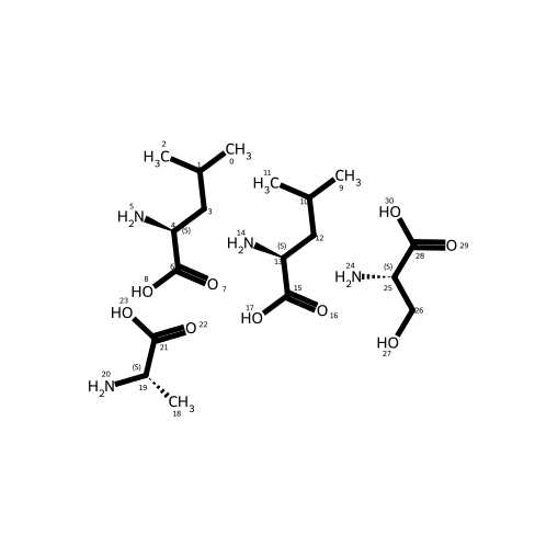 CC(C)C[C@H](N)C(=O)O.CC(C)C[C@H](N)C(=O)O.C[C@H](N)C(=O)O.N[C@@H](CO)C(=O)O